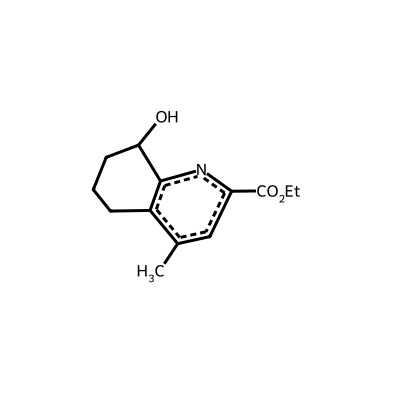 CCOC(=O)c1cc(C)c2c(n1)C(O)CCC2